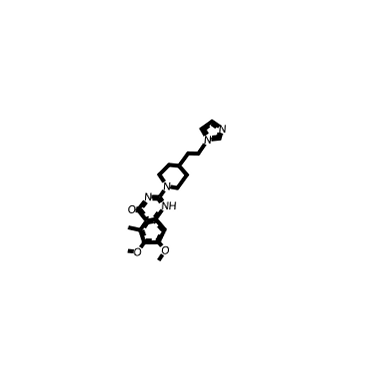 COc1cc2[nH]c(N3CCC(CCn4ccnc4)CC3)nc(=O)c2c(C)c1OC